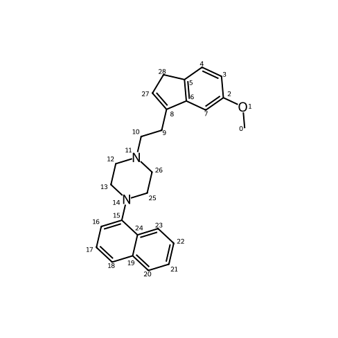 COc1ccc2c(c1)C(CCN1CCN(c3cccc4ccccc34)CC1)=CC2